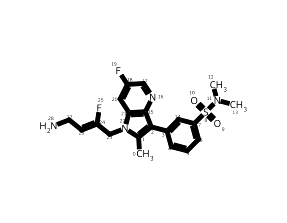 Cc1c(-c2cccc(S(=O)(=O)N(C)C)c2)c2ncc(F)cc2n1CC(F)=CCN